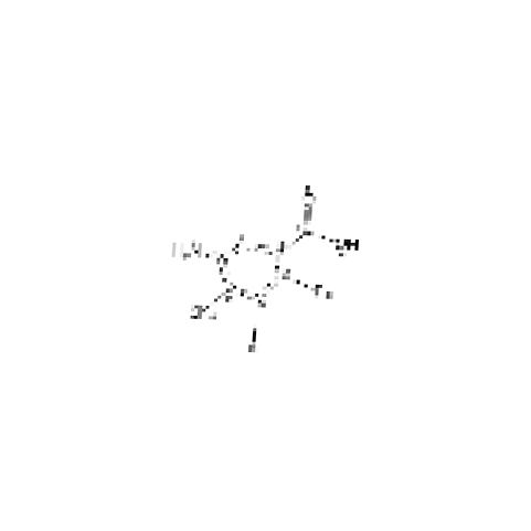 Nc1cc(C(=O)O)c(F)c(I)c1Cl